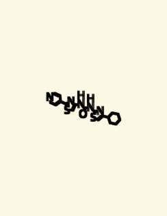 O=C(Nc1csc(-c2ccncc2)n1)Nc1nc(C2CCCCC2)cs1